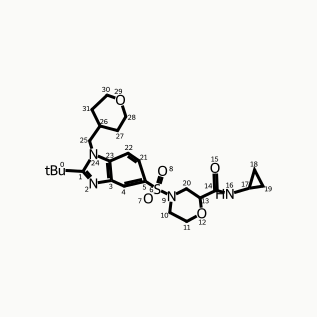 CC(C)(C)c1nc2cc(S(=O)(=O)N3CCOC(C(=O)NC4CC4)C3)ccc2n1CC1CCOCC1